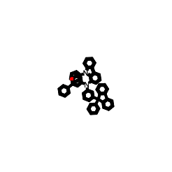 c1ccc(-c2cccc(N(c3cccc(C4(c5ccccc5)c5ccccc5-c5ccccc54)c3)c3cccc4c5ccccc5n(-c5ccccc5)c34)c2)cc1